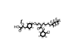 CCOC(Cc1ccc(OCCN(CCCCC(F)(F)C(F)(F)C(F)(F)F)C(=O)Oc2ccccc2Cl)cc1)C(=O)O